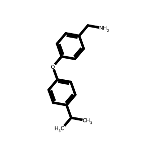 CC(C)c1ccc(Oc2ccc(CN)cc2)cc1